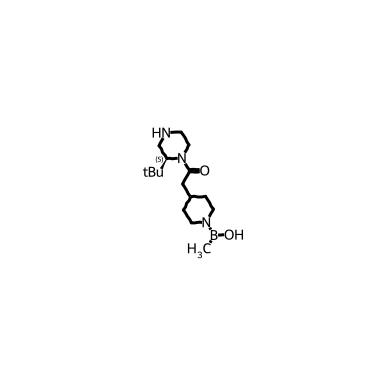 CB(O)N1CCC(CC(=O)N2CCNC[C@@H]2C(C)(C)C)CC1